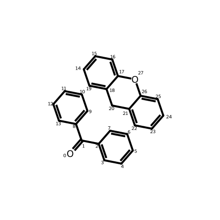 O=C(c1ccccc1)c1ccccc1.c1ccc2c(c1)Cc1ccccc1O2